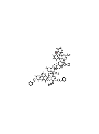 CCC1O[C@@H](OC2[C@H](O[C@H]3CCC4(C)C5CC=C6C7CC(C)(C)CC[C@]7(C(=O)O[C@@H]7OC(COCc8ccccc8)[C@H](N=[N+]=[N-])C(C)C7O[C@@H]7OC(C)[C@H](O[C@@H]8OC[C@@H](C)C(OCc9ccccc9)C8C)C8OC(C)(C)OC87)C(OC)C[C@@]6(C)[C@@]5(C)CC[C@H]4[C@@]3(C)C=O)OC(C(C)=O)[C@@H](C)[C@@H]2O[C@@H]2OC[C@@H](C)[C@H](C)C2C)C(C)[C@@H](C)[C@H]1C